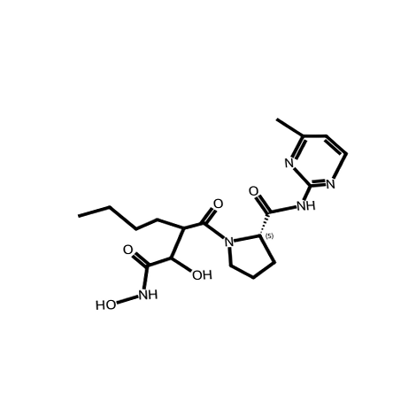 CCCCC(C(=O)N1CCC[C@H]1C(=O)Nc1nccc(C)n1)C(O)C(=O)NO